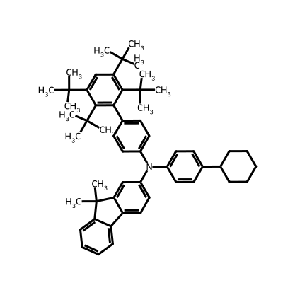 CC(C)(C)c1cc(C(C)(C)C)c(C(C)(C)C)c(-c2ccc(N(c3ccc(C4CCCCC4)cc3)c3ccc4c(c3)C(C)(C)c3ccccc3-4)cc2)c1C(C)(C)C